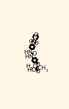 CC(C)(Oc1ccc(NC(=O)Nc2ccc(S(=O)(=O)N3CCOCC3)cc2)cc1)C(=O)O